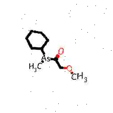 COCC(=O)[As](C)C1CC[CH]CC1